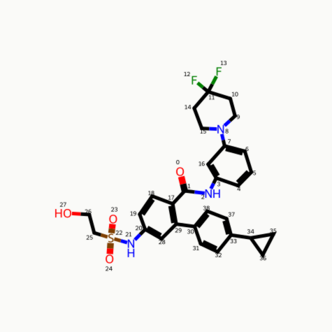 O=C(Nc1cccc(N2CCC(F)(F)CC2)c1)c1ccc(NS(=O)(=O)CCO)cc1-c1ccc(C2CC2)cc1